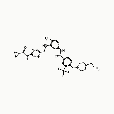 CCN1CCN(Cc2ccc(C(=O)Nc3ccc(C)c(NCc4cnc(NC(=O)C5CC5)cn4)c3)cc2C(F)(F)F)CC1